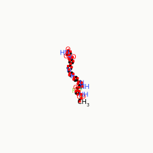 CCCS(=O)(=O)Nc1ccc(F)c(C(=O)c2c[nH]c3ncc(-c4ccc(N5CCC(CN6CCC(c7ccc8c(c7)CN([C@H]7CCC(=O)NC7=O)C8=O)CC6)CC5)cc4)cc23)c1F